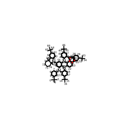 CC(C)(C)c1cccc(N2c3cc(C(C)(C)C)ccc3B3c4ccc5c(oc6ccc(C(C)(C)C)cc65)c4N(c4ccc(C(C)(C)C)cc4-c4ccccc4)c4cc(N5c6ccc(C(C)(C)C)cc6C6(C)CCCCC56C)cc2c43)c1